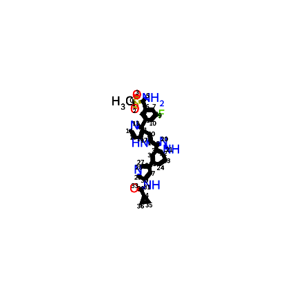 CS(=O)(=O)C(N)c1cc(F)cc(-c2nccc3[nH]c(-c4n[nH]c5ccc(-c6cncc(NC(=O)C7CC7)c6)cc45)cc23)c1